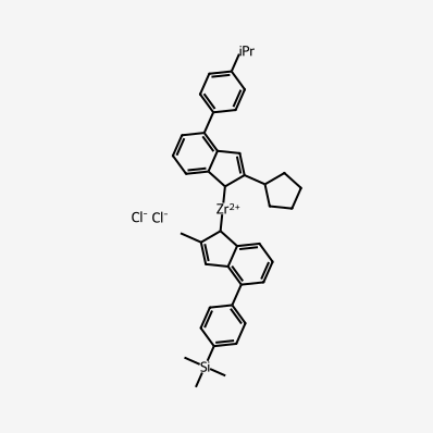 CC1=Cc2c(-c3ccc([Si](C)(C)C)cc3)cccc2[CH]1[Zr+2][CH]1C(C2CCCC2)=Cc2c(-c3ccc(C(C)C)cc3)cccc21.[Cl-].[Cl-]